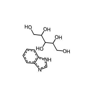 OCC(O)C(O)C(O)CO.c1ccc2[nH]cnc2c1